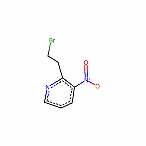 O=[N+]([O-])c1cccnc1CCBr